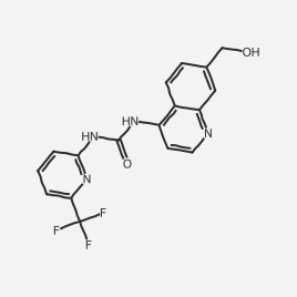 O=C(Nc1cccc(C(F)(F)F)n1)Nc1ccnc2cc(CO)ccc12